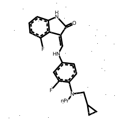 CCCN(CC1CC1)c1ccc(N/C=C2/C(=O)Nc3cccc(F)c32)cc1F